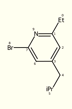 CCc1cc(CC(C)C)cc(Br)n1